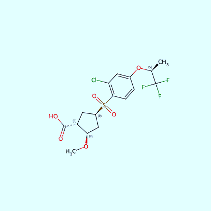 CO[C@@H]1C[C@H](S(=O)(=O)c2ccc(O[C@@H](C)C(F)(F)F)cc2Cl)C[C@H]1C(=O)O